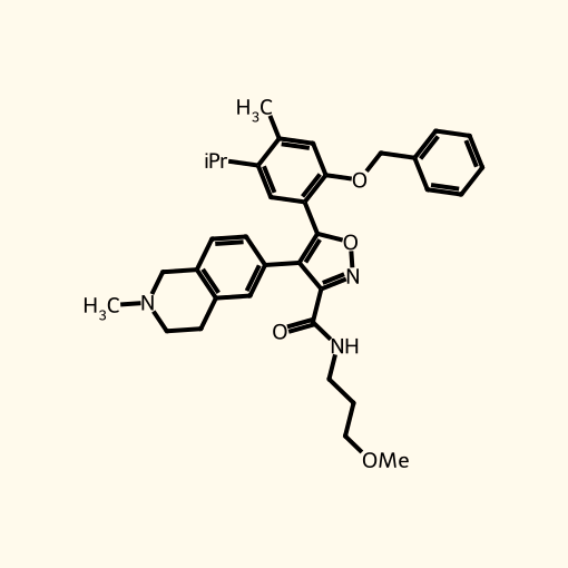 COCCCNC(=O)c1noc(-c2cc(C(C)C)c(C)cc2OCc2ccccc2)c1-c1ccc2c(c1)CCN(C)C2